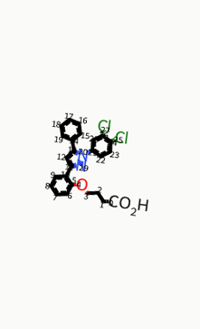 O=C(O)CCCOc1ccccc1-c1cc(-c2ccccc2)n(-c2ccc(Cl)c(Cl)c2)n1